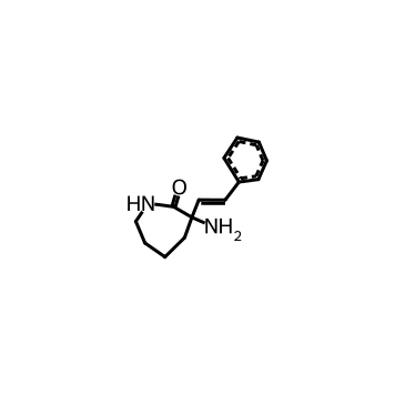 NC1(C=Cc2ccccc2)CCCCNC1=O